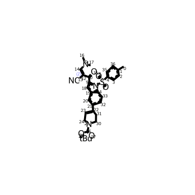 Cc1ccc(S(=O)(=O)n2c(C(=O)/C(C#N)=C\N(C)C)cc3cc(C4=CCN(C(=O)OC(C)(C)C)CC4)ccc32)cc1